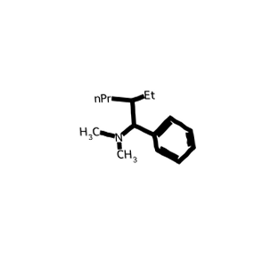 CCCC(CC)C(c1ccccc1)N(C)C